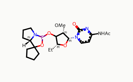 CC[C@H]1O[C@@H](n2ccc(NC(C)=O)nc2=O)[C@@H](OC)C1OP1OC2(CCCC2)[C@@H]2CCCN21